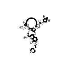 CC(C)Nc1cc(O[C@@H]2C[C@H]3C(=O)N[C@]4(C(=O)O)C[C@H]4/C=C\CCCCC[C@H](NC(=O)O[C@@H]4C[C@@H]5C[C@@H]5C4)C(=O)N3C2)c2ccc(OCCN3CCOCC3)c(Cl)c2n1